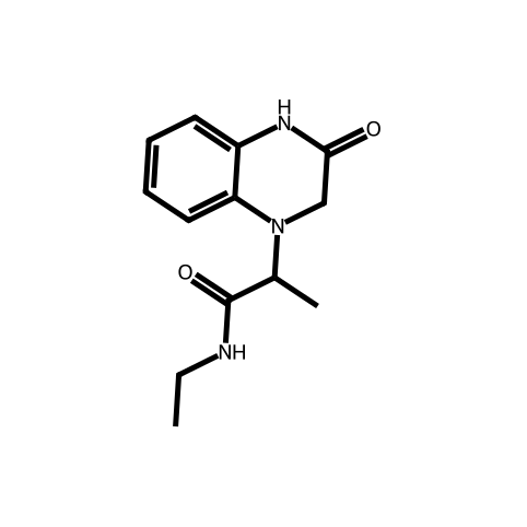 CCNC(=O)C(C)N1CC(=O)Nc2ccccc21